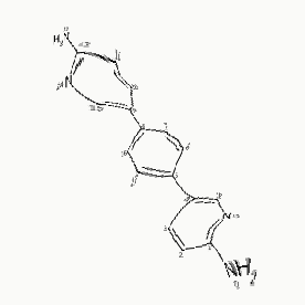 Nc1ccc(-c2ccc(-c3ccc(N)nc3)cc2)cn1